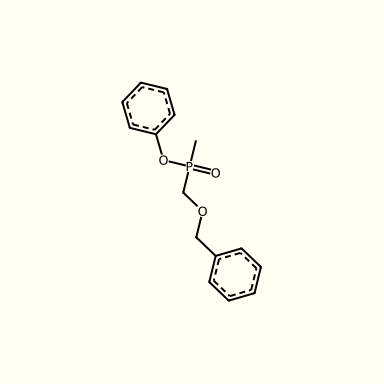 CP(=O)(COCc1ccccc1)Oc1ccccc1